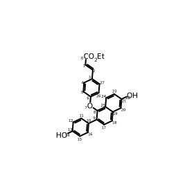 CCOC(=O)C=Cc1ccc(Oc2c(-c3ccc(O)cc3)ccc3cc(O)ccc23)cc1